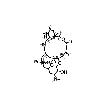 CC[C@H]1OC(=O)C(C)C(=O)[C@H](C)[C@@H](OC2OC(CNC(C)C)CC(N(C)C)C2O)[C@](C)(OC)C[C@@H](C)CN[C@H](C)[C@H]2NC(=O)O[C@@]21C